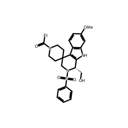 CCC(=O)N1CCC2(CC1)CN(S(=O)(=O)c1ccccc1)[C@@H](CO)c1[nH]c3cc(OC)ccc3c12